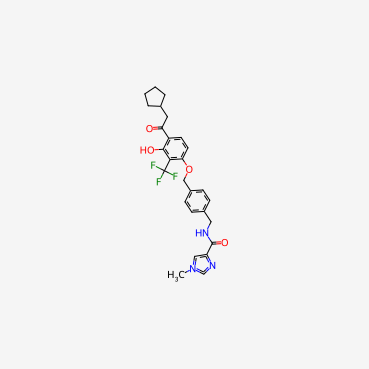 Cn1cnc(C(=O)NCc2ccc(COc3ccc(C(=O)CC4CCCC4)c(O)c3C(F)(F)F)cc2)c1